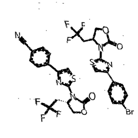 N#Cc1ccc(-c2csc(N3C(=O)OC[C@@H]3CC(F)(F)F)n2)cc1.O=C1OCC(CC(F)(F)F)N1c1nc(-c2ccc(Br)cc2)cs1